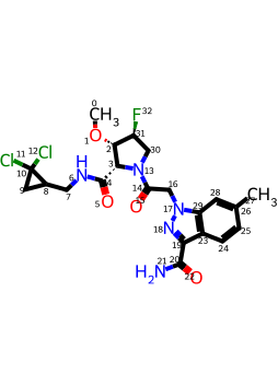 CO[C@H]1[C@@H](C(=O)NCC2CC2(Cl)Cl)N(C(=O)Cn2nc(C(N)=O)c3ccc(C)cc32)C[C@@H]1F